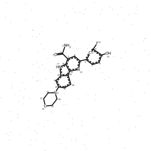 NC(=O)c1cc(-c2ccc(O)c(F)c2)nc2c1[nH]c1cc(N3CCOCC3)ccc12